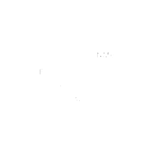 CCC(C)(CC(C)(C)NC)C(C)=O